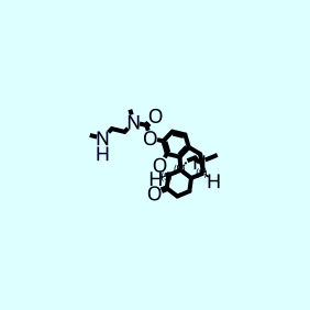 CNCCN(C)C(=O)Oc1ccc2c3c1O[C@@H]1C(=O)CCC4[C@H](C2)N(C)CC[C@]341